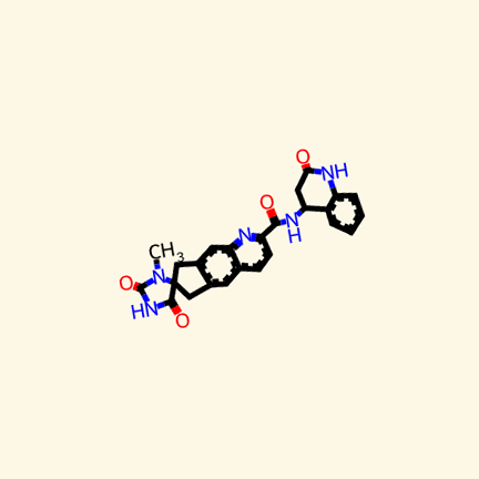 CN1C(=O)NC(=O)C12Cc1cc3ccc(C(=O)NC4CC(=O)Nc5ccccc54)nc3cc1C2